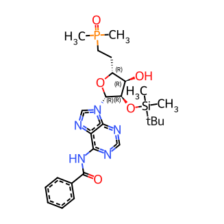 CC(C)(C)[Si](C)(C)O[C@@H]1[C@H](O)[C@@H](CCP(C)(C)=O)O[C@H]1n1cnc2c(NC(=O)c3ccccc3)ncnc21